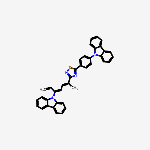 C=C/C(=C\C=C(/C)c1nsc(-c2ccc(-n3c4ccccc4c4ccccc43)cc2)n1)n1c2ccccc2c2ccccc21